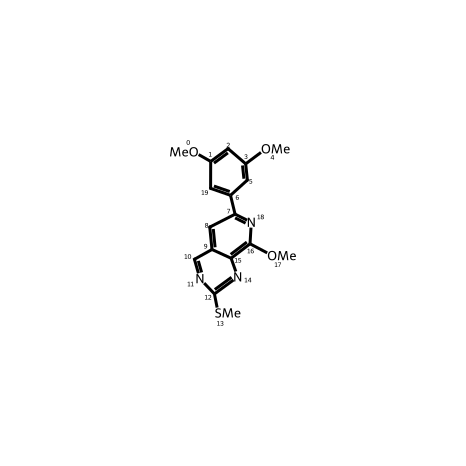 COc1cc(OC)cc(-c2cc3cnc(SC)nc3c(OC)n2)c1